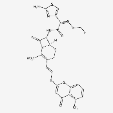 Nc1nc(/C(=N/OCF)C(=O)NC2C(=O)N3C(C(=O)O)=C(/C=C/Sc4cc(=O)c5c(C(F)(F)F)cccc5s4)CS[C@H]23)cs1